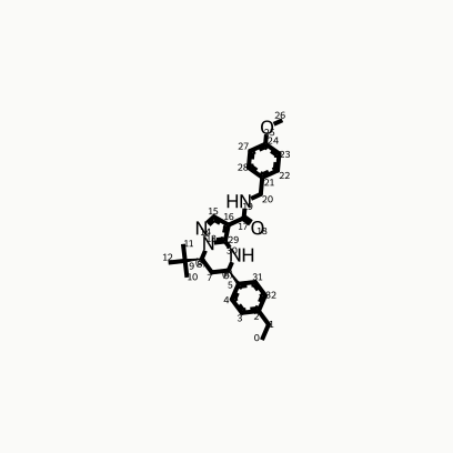 CCc1ccc([C@H]2C[C@@H](C(C)(C)C)n3ncc(C(=O)NCc4ccc(OC)cc4)c3N2)cc1